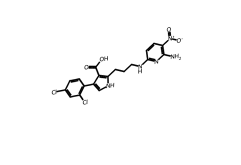 Nc1nc(NCCCc2[nH]cc(-c3ccc(Cl)cc3Cl)c2C(=O)O)ccc1[N+](=O)[O-]